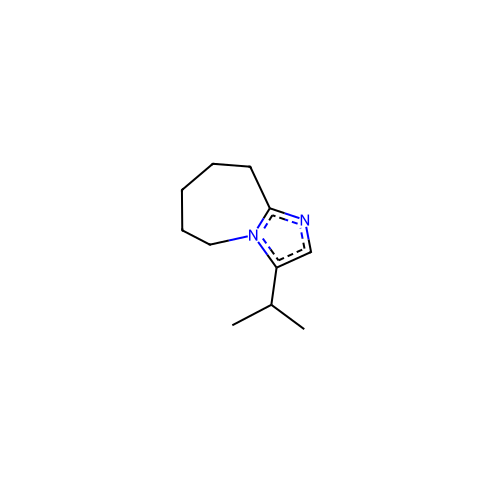 CC(C)c1cnc2n1CCCCC2